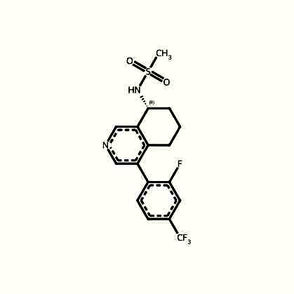 CS(=O)(=O)N[C@@H]1CCCc2c(-c3ccc(C(F)(F)F)cc3F)cncc21